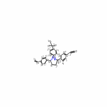 C#Cc1ccc(C2CCC(c3ccc(C#C)cc3)N2c2ccc(C(C)(C)C)cc2)cc1